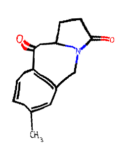 Cc1ccc2c(c1)CN1C(=O)CCC1C2=O